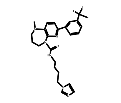 CN1CCCN(C(=O)NCCCCn2ccnc2)c2nc(-c3cccc(C(F)(F)F)c3)ccc21